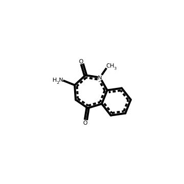 Cn1c(=O)c(N)cc(=O)c2ccccc21